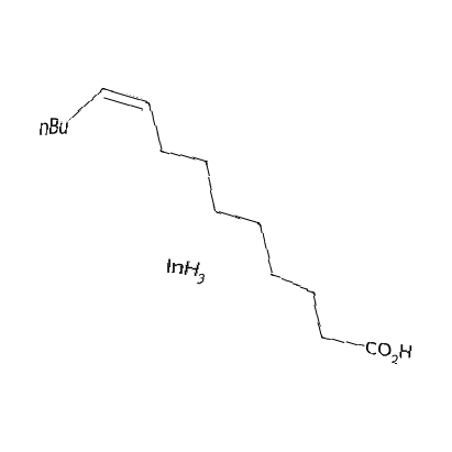 CCCC/C=C\CCCCCCCC(=O)O.[InH3]